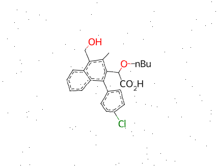 CCCCOC(C(=O)O)c1c(C)c(CO)c2ccccc2c1-c1ccc(Cl)cc1